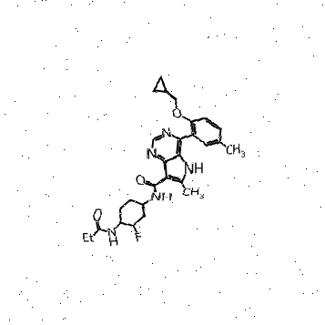 CCC(=O)NC1CCC(NC(=O)c2c(C)[nH]c3c(-c4cc(C)ccc4OCC4CC4)ncnc23)CC1F